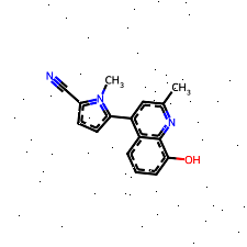 Cc1cc(-c2ccc(C#N)n2C)c2cccc(O)c2n1